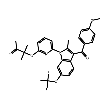 COc1ccc(C(=O)c2c(C)n(-c3cccc(OC(C)(C)C(C)=O)n3)c3cc(OC(F)(F)F)ccc23)cc1